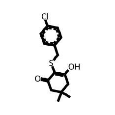 CC1(C)CC(=O)C(SCc2ccc(Cl)cc2)=C(O)C1